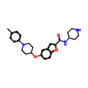 Cc1ccc(N2CCC(Oc3ccc4oc(C(=O)NC5CCNCC5)cc4c3)CC2)cc1